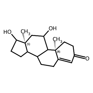 C[C@]12CC(O)C3C(CCC4=CC(=O)CC[C@@]43C)C1CCC2O